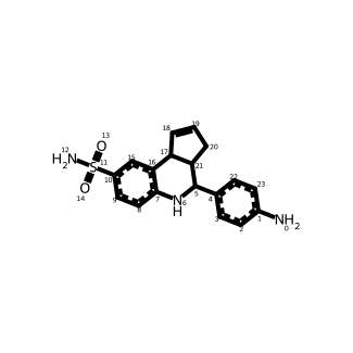 Nc1ccc(C2Nc3ccc(S(N)(=O)=O)cc3C3C=CCC32)cc1